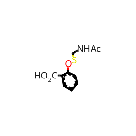 CC(=O)NCSOc1ccccc1C(=O)O